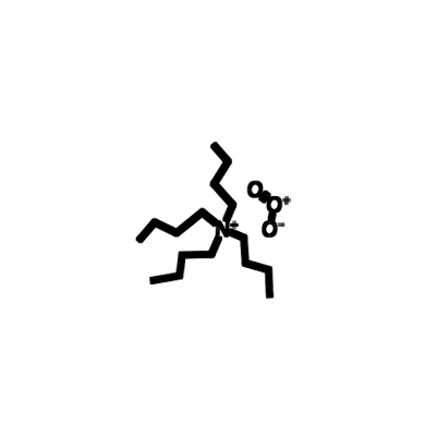 CCCC[N+](CCCC)(CCCC)CCCC.O=[O+][O-]